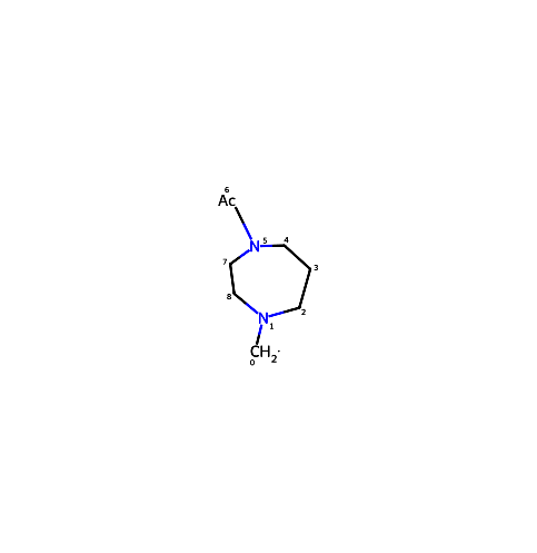 [CH2]N1CCCN(C(C)=O)CC1